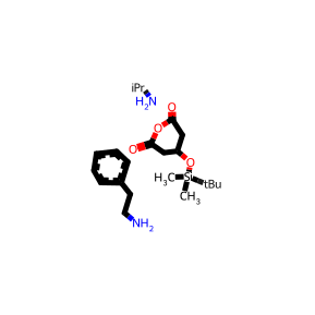 CC(C)(C)[Si](C)(C)OC1CC(=O)OC(=O)C1.CC(C)N.NCCc1ccccc1